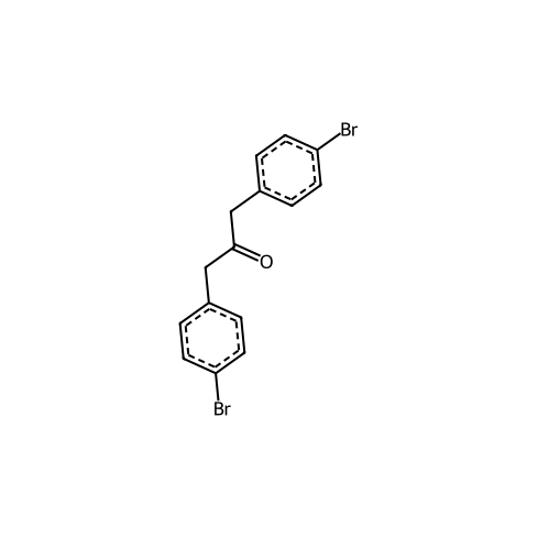 O=C(Cc1ccc(Br)cc1)Cc1ccc(Br)cc1